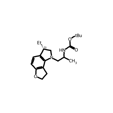 CC[C@@H]1CN(CC(C)NC(=O)OC(C)(C)C)c2c1ccc1c2CCO1